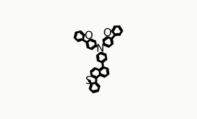 c1ccc2c(c1)oc1cc(N(c3ccc(-c4cccc5c4ccc4sc6ccccc6c45)cc3)c3ccc4c(c3)oc3ccccc34)ccc12